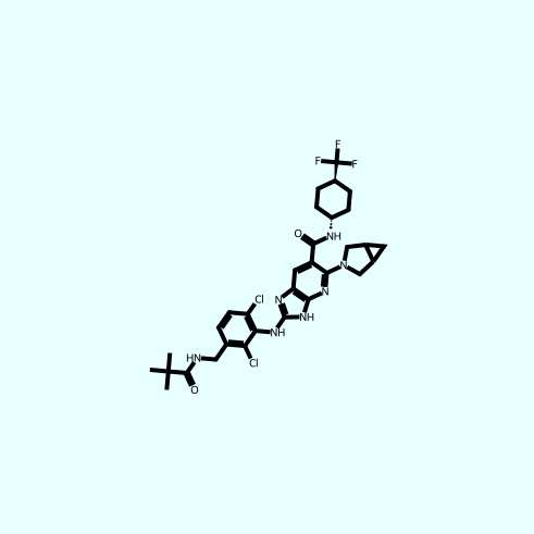 CC(C)(C)C(=O)NCc1ccc(Cl)c(Nc2nc3cc(C(=O)N[C@H]4CC[C@H](C(F)(F)F)CC4)c(N4CC5CC5C4)nc3[nH]2)c1Cl